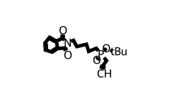 C#CCP(=O)(CCCCCN1C(=O)c2ccccc2C1=O)OC(C)(C)C